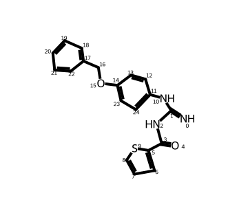 N=C(NC(=O)c1cccs1)Nc1ccc(OCc2ccccc2)cc1